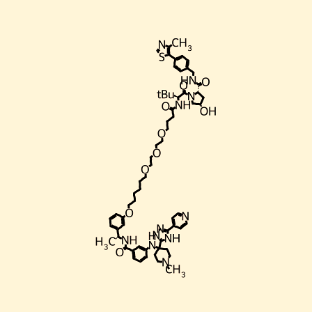 Cc1ncsc1-c1ccc(CNC(=O)[C@@H]2C[C@@H](O)CN2C(=O)[C@@H](NC(=O)CCCOCCOCCOCCCCCCOc2cccc([C@@H](C)NC(=O)c3cccc(NC4(c5nnc(-c6ccncc6)[nH]5)CCN(C)CC4)c3)c2)C(C)(C)C)cc1